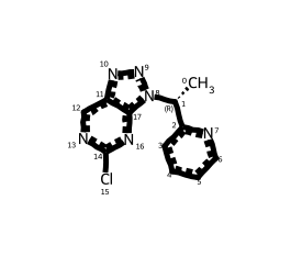 C[C@H](c1ccccn1)n1nnc2cnc(Cl)nc21